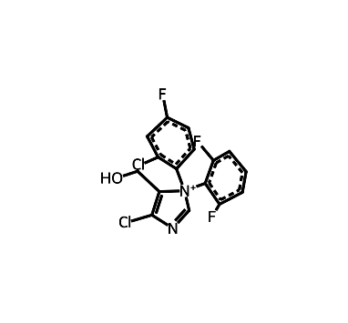 OCC1=C(Cl)N=C[N+]1(c1ccc(F)cc1Cl)c1c(F)cccc1F